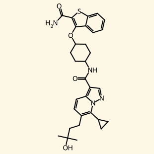 CC(C)(O)CCc1ccc2c(C(=O)NC3CCC(Oc4c(C(N)=O)sc5ccccc45)CC3)cnn2c1C1CC1